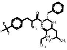 CCNC(=O)C(CC(C)C)N[C@@H](Cc1ccccc1)NC(=O)C(N)Cc1ccc(C(F)(F)F)cc1